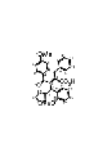 COc1ccc(C(=O)C(=C(Cc2ccccc2)C(=O)O)C(C2=COCO2)c2ccccc2OC)cc1